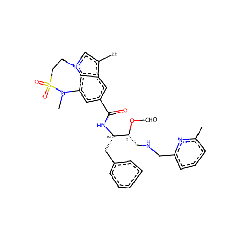 CCc1cn2c3c(cc(C(=O)N[C@@H](Cc4ccccc4)[C@@H](CNCc4cccc(C)n4)OC=O)cc13)N(C)S(=O)(=O)CC2